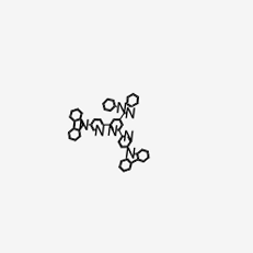 c1ccc(-n2c(-c3cc(-c4ccc(-n5c6ccccc6c6ccccc65)cn4)nc(-c4ccc(-n5c6ccccc6c6ccccc65)cn4)c3)nc3ccccc32)cc1